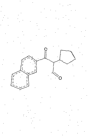 O=[C]C(C(=O)c1ccc2ccccc2c1)C1CCCC1